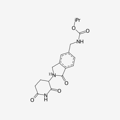 CC(C)OC(=O)NCc1ccc2c(c1)C[15N](C1CCC(=O)NC1=O)C2=O